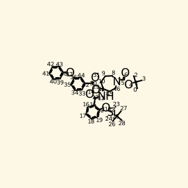 CC(C)(C)OC(=O)N1CCCC(NC(=O)c2ccccc2O[Si](C)(C)C(C)(C)C)(OC(=O)c2cccc(Oc3ccccc3)c2)CC1